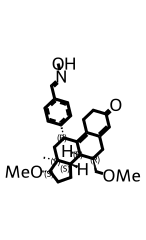 COC[C@@H]1CC2=CC(=O)CCC2=C2[C@@H]1[C@@H]1CC[C@H](OC)[C@@]1(C)C[C@@H]2c1ccc(C=NO)cc1